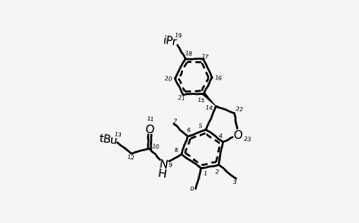 Cc1c(C)c2c(c(C)c1NC(=O)CC(C)(C)C)[C@@H](c1ccc(C(C)C)cc1)CO2